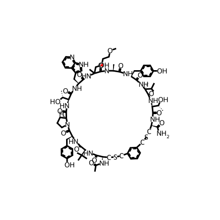 COCCOCC1(C)NC(=O)[C@H](Cc2c[nH]c3ncccc23)NC(=O)[C@H]([C@@H](C)O)NC(=O)[C@@H]2CCCN2C(=O)[C@H](Cc2ccc(O)cc2)NC(=O)[C@H](C(C)(C)C)NC(=O)[C@@H](NC(C)=O)CSCc2cccc(c2)CSC[C@H](C(N)=O)NC(=O)[C@H]([C@@H](C)O)NC(=O)[C@](C)(C(C)C)NC(=O)[C@H](Cc2ccc(O)cc2)NC(=O)[C@H](C)NC1=O